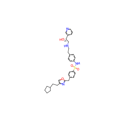 O=S(=O)(Nc1ccc(CCNC[C@H](O)c2cccnc2)cc1)c1ccc(Cc2nc(CCC3CCCC3)co2)cc1